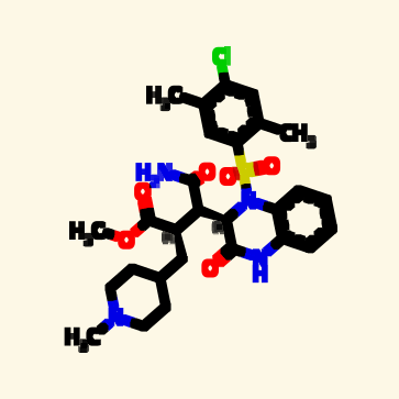 COC(=O)[C@H](CC1CCN(C)CC1)C(C(N)=O)[C@@H]1C(=O)Nc2ccccc2N1S(=O)(=O)c1cc(C)c(Cl)cc1C